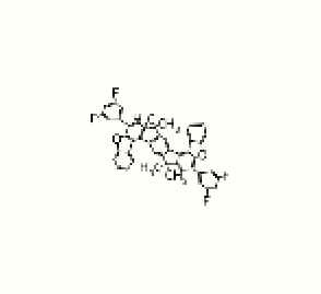 CC1(C)c2cc3c(cc2-c2c1cc(-c1cc(F)cc(F)c1)c1oc4ccccc4c21)C(C)(C)c1cc(-c2cc(F)cc(F)c2)c2oc4ccccc4c2c1-3